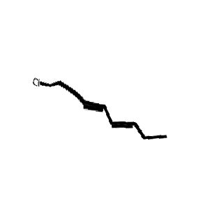 CCC=CC=CCCl